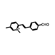 Cc1ccc(C=Cc2ccc(C=O)cc2)[n+](C)c1